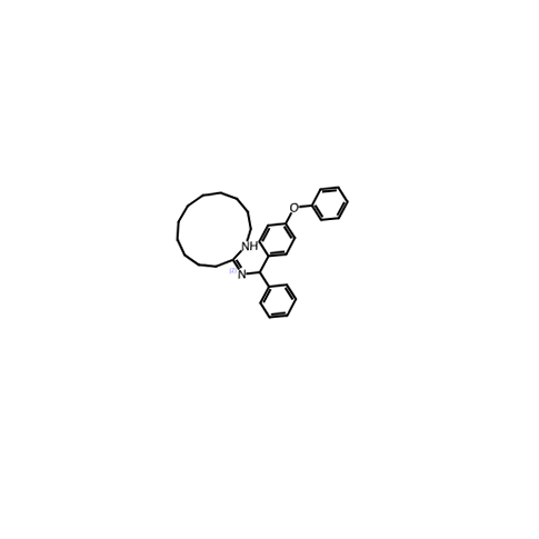 c1ccc(Oc2ccc(C(/N=C3/CCCCCCCCCCCN3)c3ccccc3)cc2)cc1